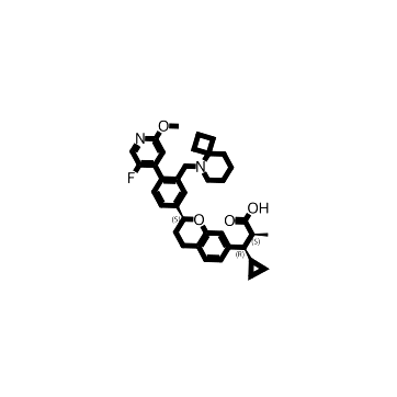 COc1cc(-c2ccc([C@@H]3CCc4ccc([C@H](C5CC5)[C@H](C)C(=O)O)cc4O3)cc2CN2CCCCC23CCC3)c(F)cn1